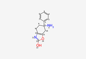 NC1(c2ccccc2)CCc2nc(O)oc2C1